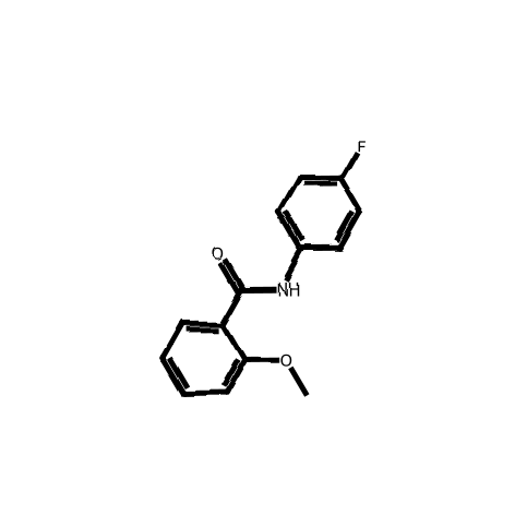 COc1ccccc1C(=O)Nc1ccc(F)cc1